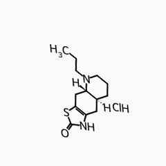 CCCN1CCC[C@H]2Cc3[nH]c(=O)sc3C[C@@H]21.Cl